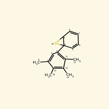 Cc1cc(C23C=CC=CC2S3)c(C)c(C)c1C